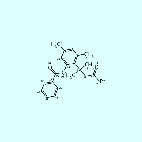 Cc1cc(C)c(C(C)(C)CC(=O)C(C)C)c(OC(=O)c2ccccc2)c1